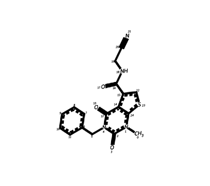 Cn1c(=O)n(Cc2ccccc2)c(=O)c2c(C(=O)NCC#N)csc21